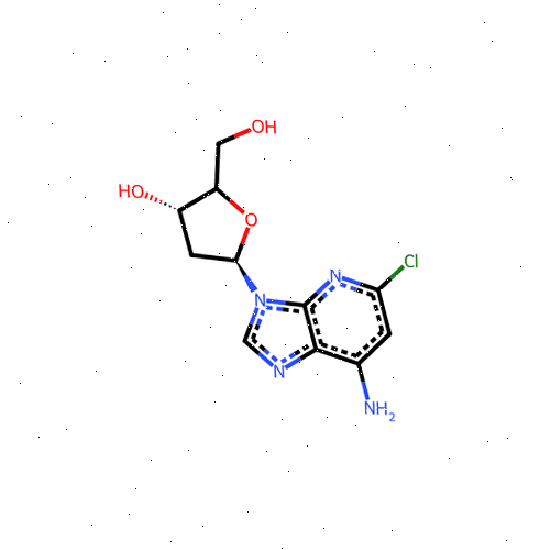 Nc1cc(Cl)nc2c1ncn2[C@H]1C[C@H](O)C(CO)O1